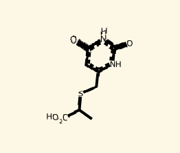 CC(SCc1cc(=O)[nH]c(=O)[nH]1)C(=O)O